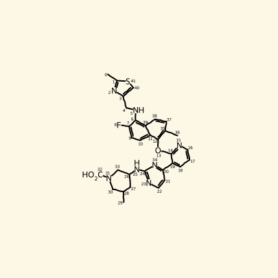 Cc1nc(CNc2c(F)ccc3c(Oc4ncccc4-c4ccnc(NC5CC(C)CN(C(=O)O)C5)n4)c(C)ccc23)cs1